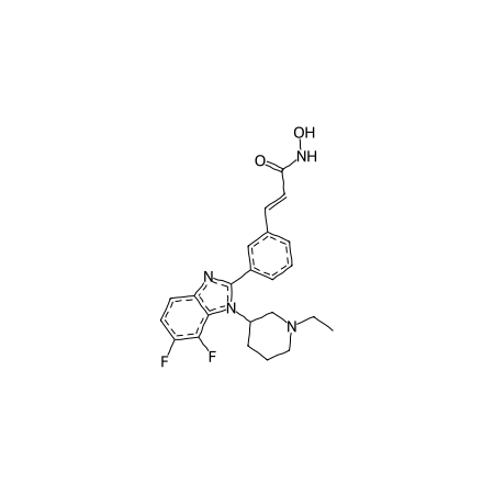 CCN1CCCC(n2c(-c3cccc(/C=C/C(=O)NO)c3)nc3ccc(F)c(F)c32)C1